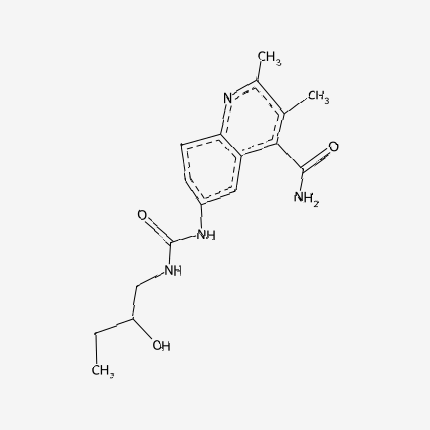 CCC(O)CNC(=O)Nc1ccc2nc(C)c(C)c(C(N)=O)c2c1